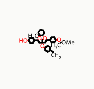 C=Cc1ccc(OC(C=Cc2ccc(O)cc2)(C=Cc2ccc(OC(C)OC)cc2)C(=O)OC2(C)CCCCC2)cc1